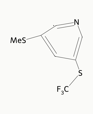 CSc1[c]ncc(SC(F)(F)F)c1